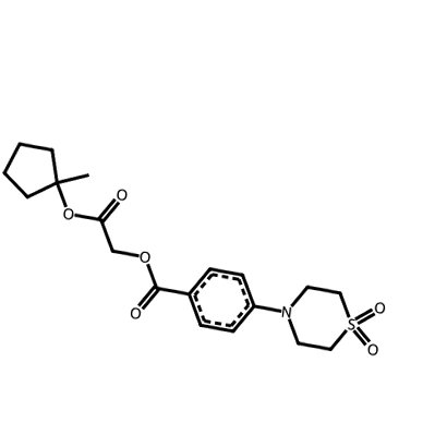 CC1(OC(=O)COC(=O)c2ccc(N3CCS(=O)(=O)CC3)cc2)CCCC1